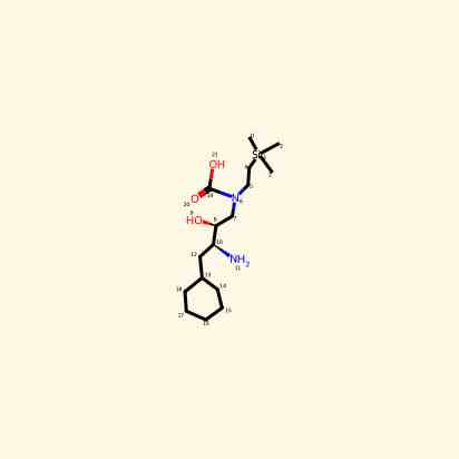 C[Si](C)(C)CCN(C[C@H](O)[C@@H](N)CC1CCCCC1)C(=O)O